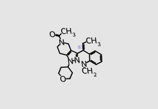 C=Nc1ccccc1/C(=C\C)c1nn(C2CCOCC2)c2c1CN(C(C)=O)CC2